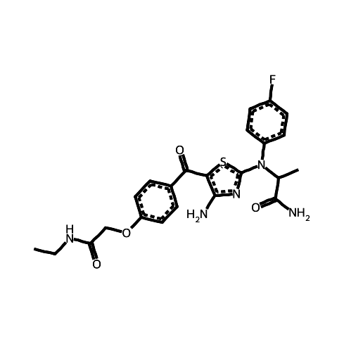 CCNC(=O)COc1ccc(C(=O)c2sc(N(c3ccc(F)cc3)C(C)C(N)=O)nc2N)cc1